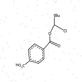 CC(C)(C)C(Cl)OC(=O)c1ccc(C(=O)O)cc1